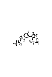 CC(C)OC(=O)C(Cl)Oc1ccc(F)c(-c2nn(C)c(OC(F)F)c2Cl)c1